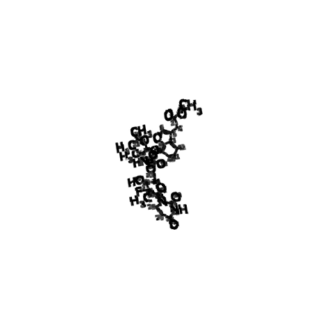 COC(=O)Cc1coc2c(OP(=O)(NC(C)C(=O)OC(C)C)OC[C@H]3O[C@@H](n4ccc(=O)[nH]c4=O)[C@](C)(F)[C@@H]3O)cccc12